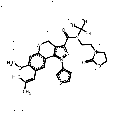 [2H]C([2H])([2H])N(CCN1CCOC1=O)C(=O)c1nn(-c2ccsc2)c2c1COc1cc(OC)c(C=C(C)C)cc1-2